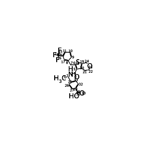 C[C@H](NC(=O)c1c(Cc2cccc(C(F)(F)F)c2)sc2c1CCOC2)c1ccc(C(=O)O)cc1